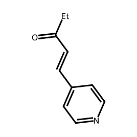 CCC(=O)/C=C/c1ccncc1